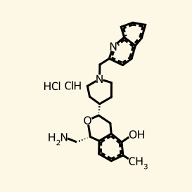 Cc1ccc2c(c1O)C[C@@H](C1CCN(Cc3ccc4ccccc4n3)CC1)O[C@H]2CN.Cl.Cl